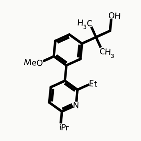 CCc1nc(C(C)C)ccc1-c1cc(C(C)(C)CO)ccc1OC